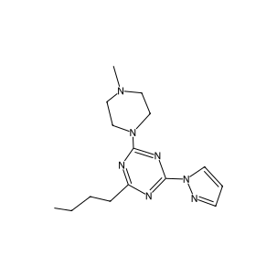 CCCCc1nc(N2CCN(C)CC2)nc(-n2cccn2)n1